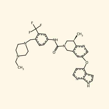 CCN1CCN(Cc2ccc(NC(=O)N3Cc4cc(Oc5ccnc6[nH]ccc56)cnc4[C@H](C)C3)cc2C(F)(F)F)CC1